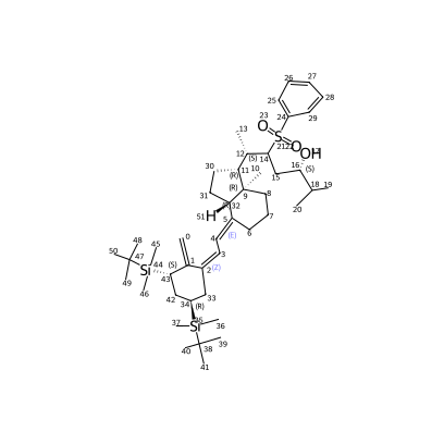 C=C1/C(=C\C=C2/CCC[C@]3(C)[C@@H]([C@H](C)C(C[C@H](O)C(C)C)S(=O)(=O)c4ccccc4)CC[C@@H]23)C[C@@H]([Si](C)(C)C(C)(C)C)C[C@@H]1[Si](C)(C)C(C)(C)C